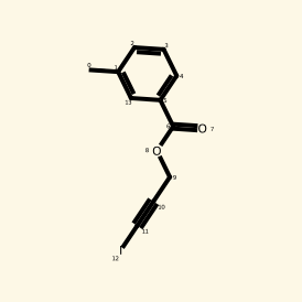 Cc1cccc(C(=O)OCC#CI)c1